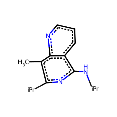 Cc1c(C(C)C)nc(NC(C)C)c2cccnc12